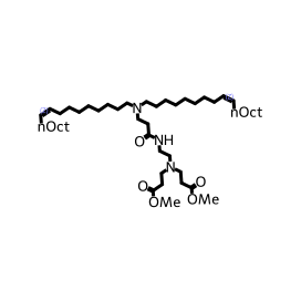 CCCCCCCC/C=C\CCCCCCCCN(CCCCCCCC/C=C\CCCCCCCC)CCC(=O)NCCN(CCC(=O)OC)CCC(=O)OC